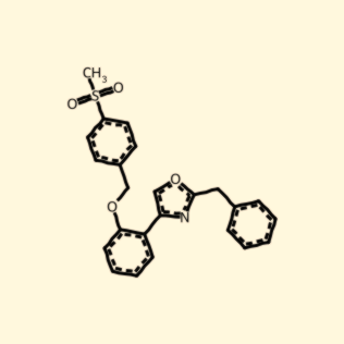 CS(=O)(=O)c1ccc(COc2ccccc2-c2coc(Cc3ccccc3)n2)cc1